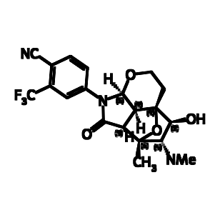 CN[C@H]1[C@H](O)[C@@]23CCO[C@H]4[C@@H]2[C@H](C(=O)N4c2ccc(C#N)c(C(F)(F)F)c2)[C@]1(C)O3